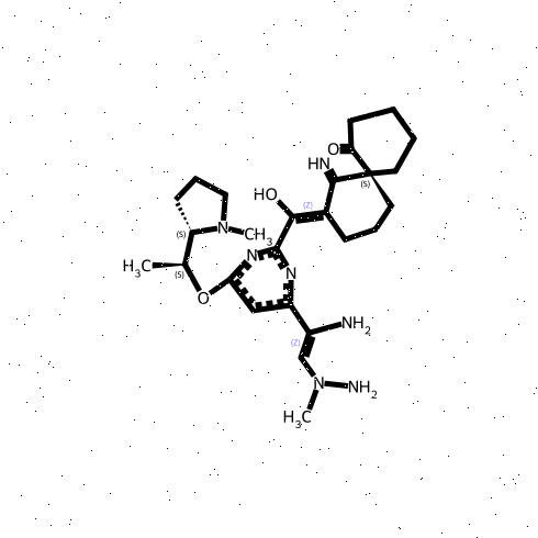 C[C@H](Oc1cc(/C(N)=C/N(C)N)nc(/C(O)=C2\CCC[C@@]3(CCCCC3=O)C2=N)n1)[C@@H]1CCCN1C